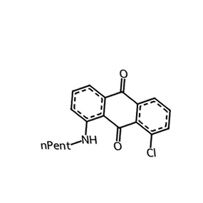 CCCCCNc1cccc2c1C(=O)c1c(Cl)cccc1C2=O